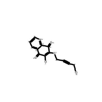 O=C1C(Cl)=C(OCC#CCCl)C(=O)c2ncccc21